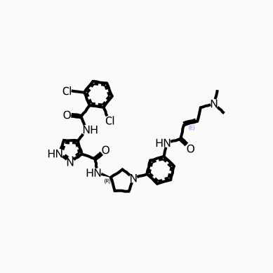 CN(C)C/C=C/C(=O)Nc1cccc(N2CC[C@@H](NC(=O)c3n[nH]cc3NC(=O)c3c(Cl)cccc3Cl)C2)c1